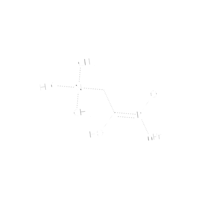 CCC/[P+]([O-])=C(\O)C[N+](C)(C)C